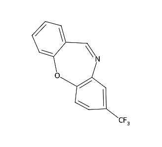 FC(F)(F)c1ccc2c(c1)N=Cc1ccccc1O2